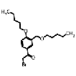 CCCCCOCc1cc(C(=O)CBr)ccc1OCCCCC